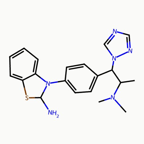 CC(C(c1ccc(N2c3ccccc3SC2N)cc1)n1cncn1)N(C)C